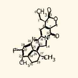 CC[C@H]1C(=O)OCc2c1cc1n(c2=O)Cc2c-1nc1cc(F)c(C)c3c1c2[C@@H](C)CC3